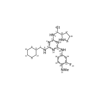 CCC(Nc1nc(NCC2CCCCC2)nc(Nc2ccc(NC)c(F)c2)n1)C1CCCN1